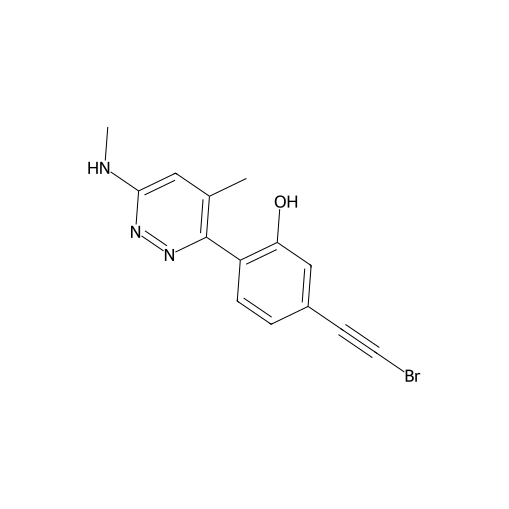 CNc1cc(C)c(-c2ccc(C#CBr)cc2O)nn1